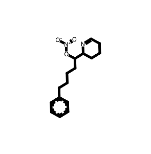 O=[N+]([O-])OC(CCCCc1ccccc1)C1CCCC=N1